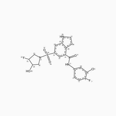 O=C(Nc1ccc(F)c(Cl)c1)c1cc(S(=O)(=O)N2CC(O)C(F)C2)cc2[nH]ccc12